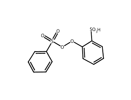 O=S(=O)(O)c1ccccc1OOS(=O)(=O)c1ccccc1